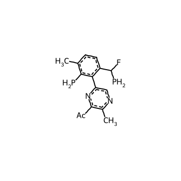 CC(=O)c1nc(-c2c(C(F)P)ccc(C)c2P)cnc1C